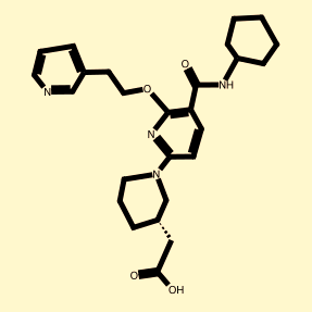 O=C(O)C[C@@H]1CCCN(c2ccc(C(=O)NC3CCCCC3)c(OCCc3cccnc3)n2)C1